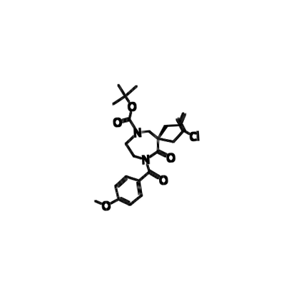 C=CC[C@]1(CC(=C)Cl)CN(C(=O)OC(C)(C)C)CCN(C(=O)c2ccc(OC)cc2)C1=O